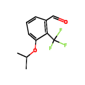 CC(C)Oc1cccc(C=O)c1C(F)(F)F